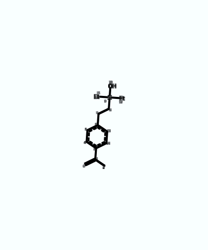 C=C(C)c1ccc(CC[Si](O)(CC)CC)cc1